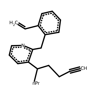 C#CCCC(CCC)c1cccnc1Cc1ccccc1C=C